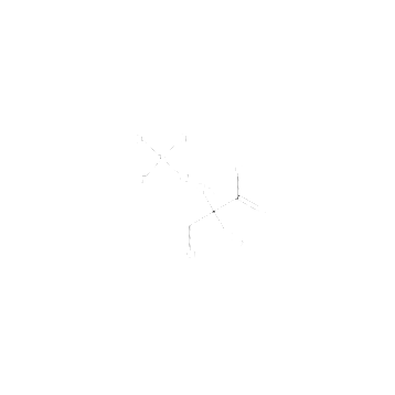 CC(C)(CCl)C(=O)Cl.Cl[P](Cl)(Cl)Cl